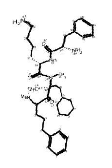 CNC(CCCc1ccccc1)C(=O)[C@]([C]=O)(CC1CCCCC1)N(C)C(=O)[C@H](CCCCN)NC(=O)[C@@H](N)Cc1ccccc1